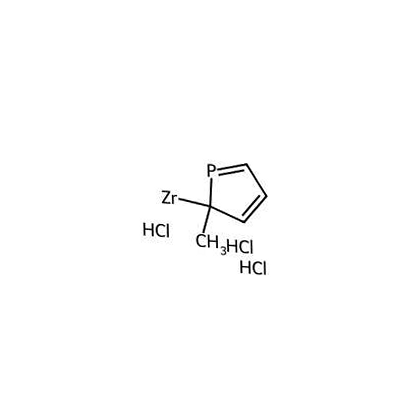 C[C]1([Zr])C=CC=P1.Cl.Cl.Cl